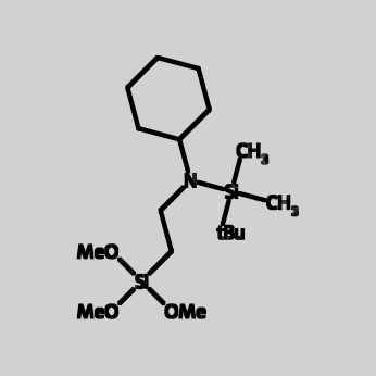 CO[Si](CCN(C1CCCCC1)[Si](C)(C)C(C)(C)C)(OC)OC